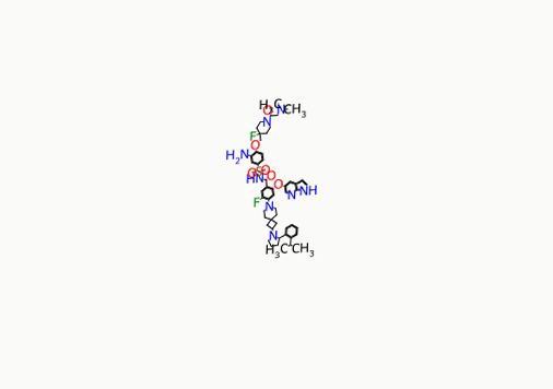 CC(C)c1ccccc1C1CCCN1C1CC2(CCN(c3cc(Oc4cnc5[nH]ccc5c4)c(C(=O)NS(=O)(=O)c4ccc(OCC5(F)CCN(C(=O)CN(C)C)CC5)c(N)c4)cc3F)CC2)C1